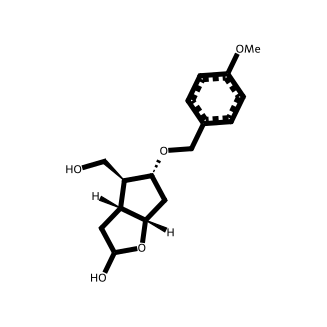 COc1ccc(CO[C@@H]2C[C@@H]3OC(O)C[C@@H]3[C@H]2CO)cc1